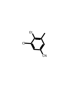 CCc1c(C)cc(C#N)cc1Cl